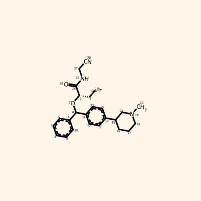 CC(C)C[C@H](OC(c1ccccc1)c1ccc(C2CCCN(C)C2)cc1)C(=O)NCC#N